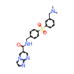 CN(C)Cc1cccc(S(=O)(=O)c2ccc(CNC(=O)c3cnc4nccn4c3)cc2)c1